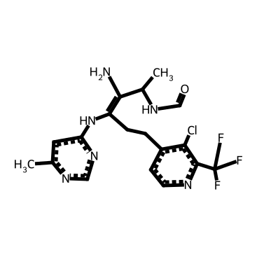 Cc1cc(N/C(CCc2ccnc(C(F)(F)F)c2Cl)=C(\N)C(C)NC=O)ncn1